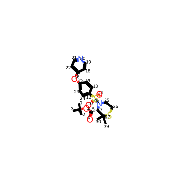 CC(C)(C)OC(=O)[C@@H]1N(S(=O)(=O)c2ccc(Oc3ccncc3)cc2)CCSC1(C)C